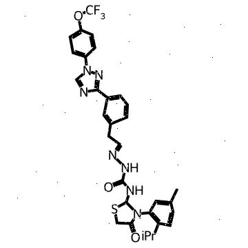 Cc1ccc(C(C)C)c(N2C(=O)CSC2NC(=O)N/N=C/Cc2cccc(-c3ncn(-c4ccc(OC(F)(F)F)cc4)n3)c2)c1